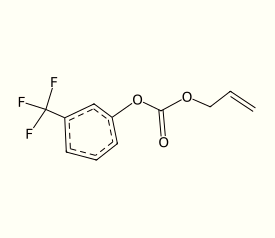 C=CCOC(=O)Oc1cccc(C(F)(F)F)c1